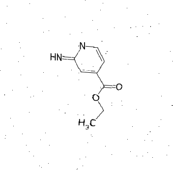 CCOC(=O)C1=CC(=N)[N]C=C1